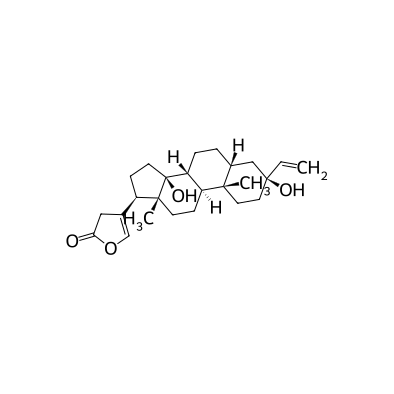 C=C[C@]1(O)CC[C@@]2(C)[C@H](CC[C@@H]3[C@@H]2CC[C@]2(C)[C@@H](C4=COC(=O)C4)CC[C@]32O)C1